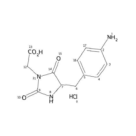 Cl.Nc1ccc(CC2NC(=O)N(CC(=O)O)C2=O)cc1